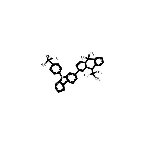 CC(C)(C)c1ccc(-n2c3ccccc3c3ccc(C4=CC5C(C(C)(C)C)c6ccccc6C(C)(C)C5C=C4)cc32)cc1